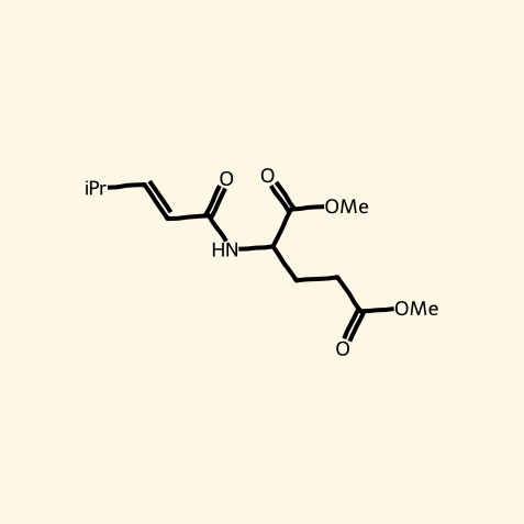 COC(=O)CCC(NC(=O)/C=C/C(C)C)C(=O)OC